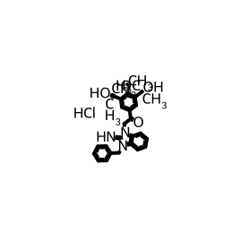 COc1c(C(C)(C)O)cc(C(=O)Cn2c(=N)n(Cc3ccccc3)c3ccccc32)cc1C(C)(C)O.Cl